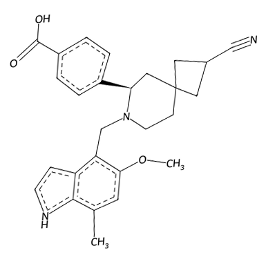 COc1cc(C)c2[nH]ccc2c1CN1CCC2(CC(C#N)C2)C[C@@H]1c1ccc(C(=O)O)cc1